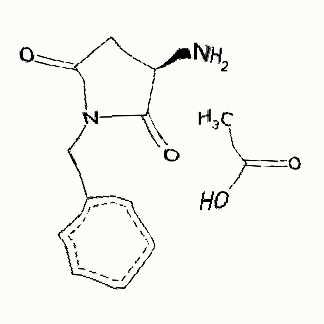 CC(=O)O.N[C@@H]1CC(=O)N(Cc2ccccc2)C1=O